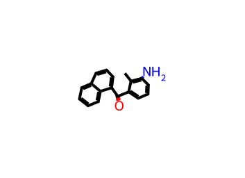 Cc1c(N)cccc1C(=O)c1cccc2ccccc12